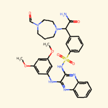 COc1cc(Nc2nc3ccccc3nc2NS(=O)(=O)c2cccc(C(C(N)=O)N3CCCN(C=O)CC3)c2)cc(OC)c1